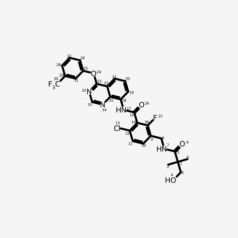 CC(C)(CO)C(=O)NCc1ccc(Cl)c(C(=O)Nc2cccc3c(Oc4cccc(C(F)(F)F)c4)ncnc23)c1F